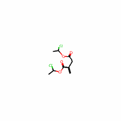 C=C(CC(=O)OC(C)Cl)C(=O)OC(C)Cl